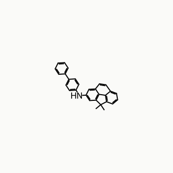 CC1(C)c2cccc3ccc4cc(Nc5ccc(-c6ccccc6)cc5)cc1c4c23